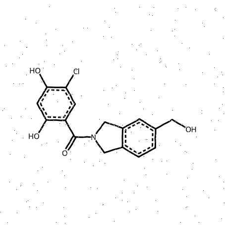 O=C(c1cc(Cl)c(O)cc1O)N1Cc2ccc(CO)cc2C1